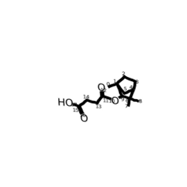 CC12CCC(C1)C(C)(C)C2OC(=O)CCC(=O)O